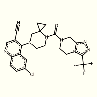 N#Cc1cnc2ccc(Cl)cc2c1N1CCN(C(=O)N2CCn3c(nnc3C(F)(F)F)C2)C2(CC2)C1